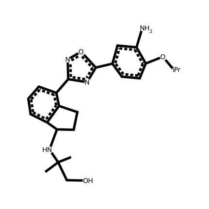 CC(C)Oc1ccc(-c2nc(-c3cccc4c3CCC4NC(C)(C)CO)no2)cc1N